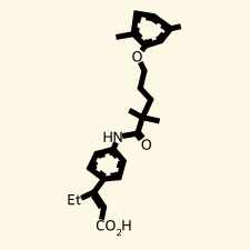 CCC(=CC(=O)O)c1ccc(NC(=O)C(C)(C)CCCOc2cc(C)ccc2C)cc1